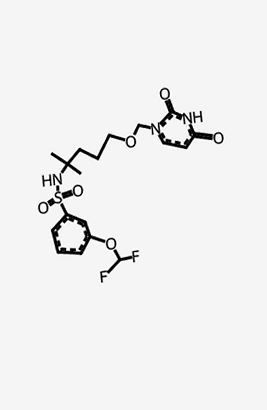 CC(C)(CCCOCn1ccc(=O)[nH]c1=O)NS(=O)(=O)c1cccc(OC(F)F)c1